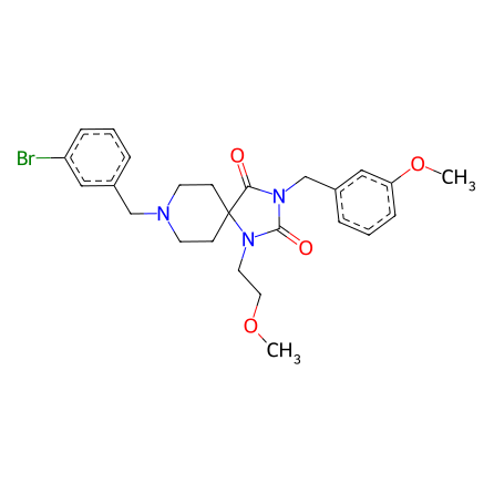 COCCN1C(=O)N(Cc2cccc(OC)c2)C(=O)C12CCN(Cc1cccc(Br)c1)CC2